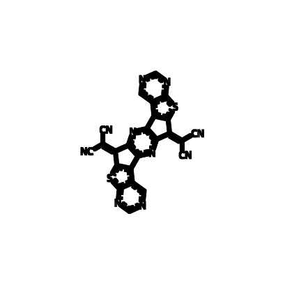 N#CC(C#N)=C1c2nc3c(nc2-c2c1sc1ncncc21)C(=C(C#N)C#N)c1sc2ncncc2c1-3